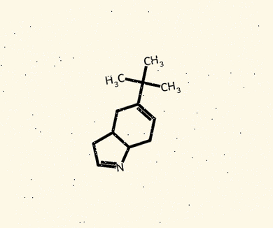 CC(C)(C)C1=CCC2N=CCC2C1